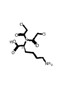 NCCCC[C@@H](C(=O)O)N(C(=O)CCl)C(=O)CCl